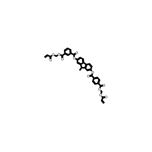 C=CC(=O)OCOC(=O)c1ccc(C(=O)Oc2ccc3c(c2)C(C)c2cc(OC(=O)c4cccc(C(=O)OCOC(=O)C=C)c4)ccc2-3)cc1